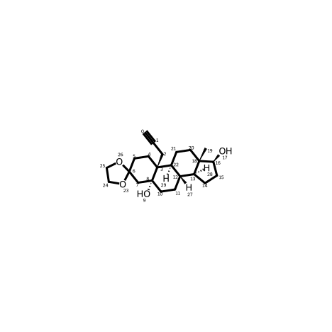 C#CC[C@]12CCC3(C[C@]1(O)CC[C@H]1[C@@H]4CC[C@H](O)[C@@]4(C)CC[C@@H]12)OCCO3